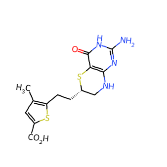 Cc1cc(C(=O)O)sc1CC[C@H]1CNc2nc(N)[nH]c(=O)c2S1